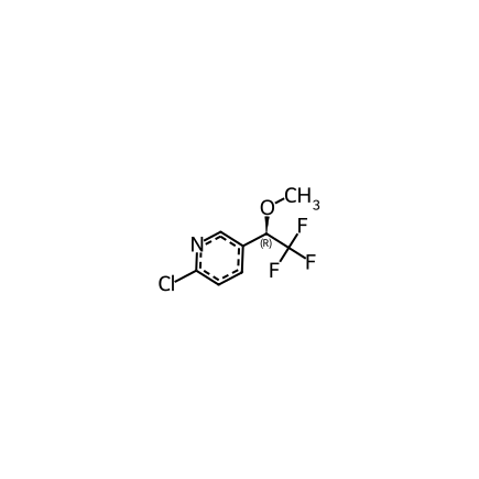 CO[C@H](c1ccc(Cl)nc1)C(F)(F)F